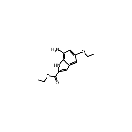 CCOC(=O)c1cc2cc(OCC)cc(N)c2[nH]1